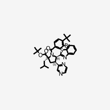 CC(C)C[C@@]1(C(=O)OC(C)(C)C)C[C@H](c2cnccn2)[C@H](c2nc3ccccc3s2)N1C(=O)c1ccc(C(C)(C)C)c(Br)c1